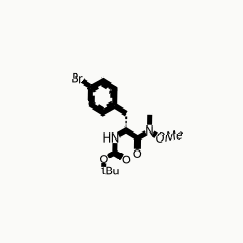 CON(C)C(=O)[C@@H](Cc1ccc(Br)cc1)NC(=O)OC(C)(C)C